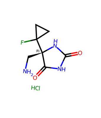 Cl.NC[C@@]1(C2(F)CC2)NC(=O)NC1=O